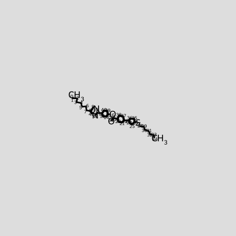 CCCCCCCCc1cnc(-c2ccc(OC(=O)c3ccc(-c4ccc(SCCCCCCC)cc4)cc3)cc2)nc1